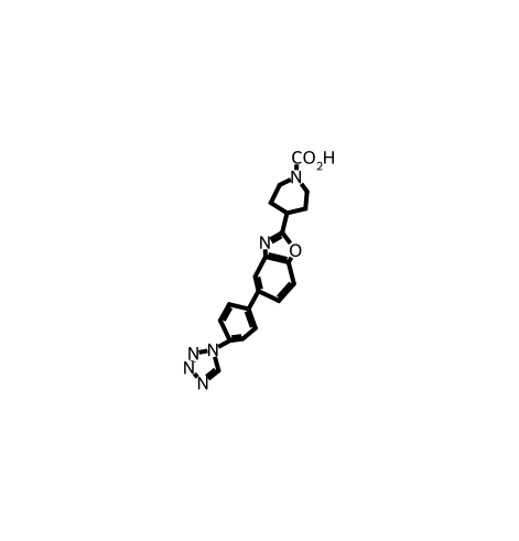 O=C(O)N1CCC(c2nc3cc(-c4ccc(-n5cnnn5)cc4)ccc3o2)CC1